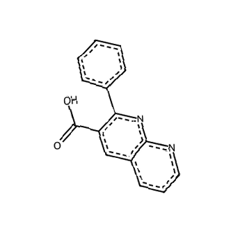 O=C(O)c1cc2cccnc2nc1-c1ccccc1